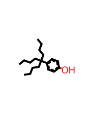 CCCCC(CCCC)(CCCC)c1ccc(O)cc1